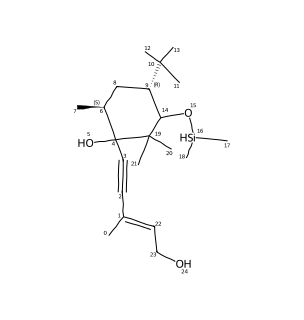 CC(C#CC1(O)[C@@H](C)C[C@H](C(C)(C)C)C(O[SiH](C)C)C1(C)C)=CCO